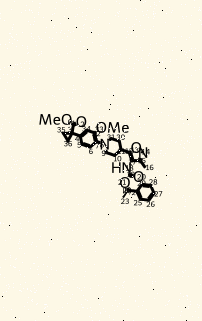 COC(=O)C1(c2ccc(N3CCC(c4onc(C)c4NC(=O)O[C@H](C)c4ccccc4)CC3)c(OC)c2)CC1